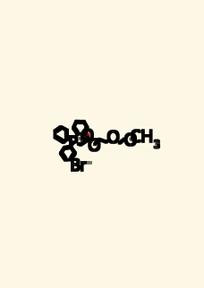 COCCOCCOC(=O)C[P+](c1ccccc1)(c1ccccc1)c1ccccc1.[Br-]